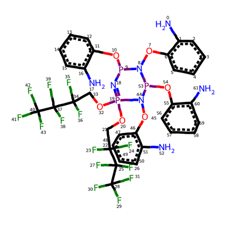 Nc1ccccc1ON1P(Oc2ccccc2N)N=P(OCC(F)(F)C(F)(F)C(F)(F)F)(OCC(F)(F)C(F)(F)C(F)(F)F)N(Oc2ccccc2N)P1Oc1ccccc1N